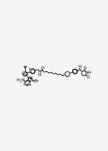 CC(C)n1nc(-c2noc(C3CC3)c2-c2ccc(CNC(=O)CCCCCCCCCN3CCC(c4ccc(NC5CCC(=O)NC5=O)cc4)CC3)cn2)c2c(N)ncnc21